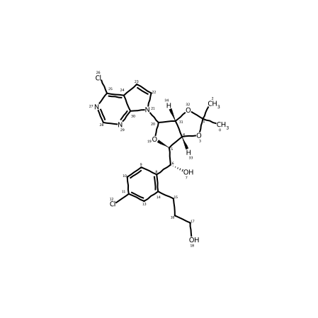 CC1(C)O[C@@H]2[C@@H]([C@H](O)c3ccc(Cl)cc3CCCO)OC(n3ccc4c(Cl)ncnc43)[C@@H]2O1